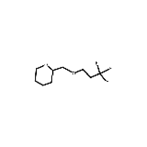 FC(F)(F)CCOCC1CCCCO1